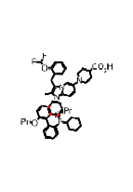 CC(C)Oc1cccc(OC(C)C)c1-c1ccccc1P(C1CCCCC1)C1CCCCC1.Cc1nc2ccc(N3CCC(C(=O)O)CC3)cn2c1Cc1ccccc1OC(F)F